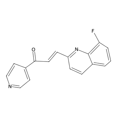 O=C(/C=C/c1ccc2cccc(F)c2n1)c1ccncc1